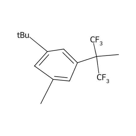 Cc1cc(C(C)(C)C)cc(C(C)(C(F)(F)F)C(F)(F)F)c1